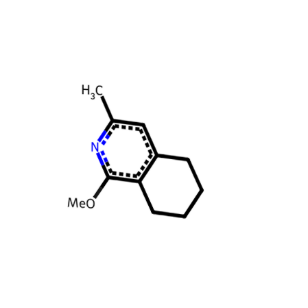 COc1nc(C)cc2c1CCCC2